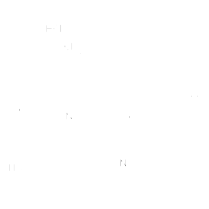 C=CCn1c(C)c(C)c2ccnc(OCC3CCCO3)c21.Cl